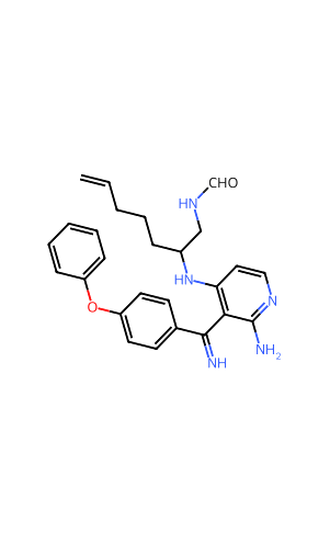 C=CCCCC(CNC=O)Nc1ccnc(N)c1C(=N)c1ccc(Oc2ccccc2)cc1